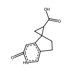 O=C(O)C1CC12CCc1c[nH]c(=O)cc12